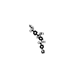 CCOn1c(-c2ccc(C(=O)N=[N+]=[N-])cc2)nc2cc(NC(=O)c3ccc(N4CCCC4)cc3)ccc21